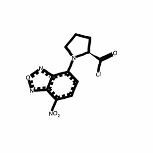 O=C(Cl)[C@@H]1CCCN1c1ccc([N+](=O)[O-])c2nonc12